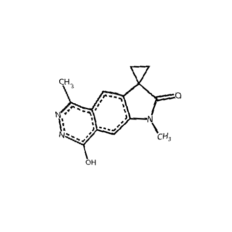 Cc1nnc(O)c2cc3c(cc12)C1(CC1)C(=O)N3C